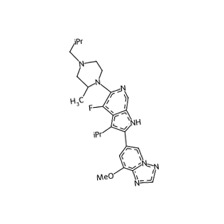 COc1cc(-c2[nH]c3cnc(N4CCN(CC(C)C)CC4C)c(F)c3c2C(C)C)cn2ncnc12